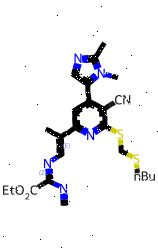 C=N/C(=N\C=C(/C)c1cc(-c2cnc(C)n2C)c(C#N)c(SCSCCCC)n1)C(=O)OCC